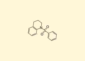 O=S(=O)(c1ccccc1)N1CCCc2ccc[c]c21